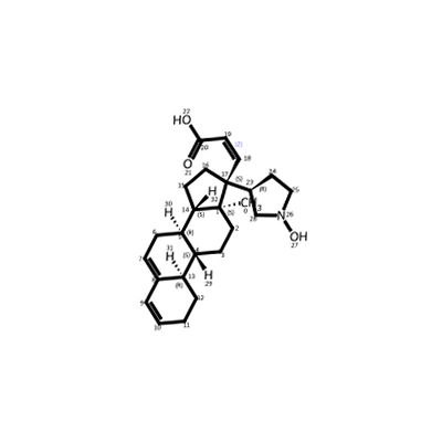 C[C@]12CC[C@H]3[C@@H](CC=C4C=CCC[C@@H]43)[C@@H]1CC[C@]2(/C=C\C(=O)O)[C@H]1CCN(O)C1